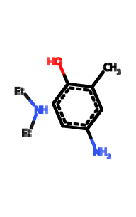 CCNCC.Cc1cc(N)ccc1O